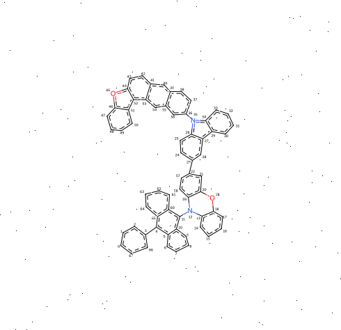 c1ccc(-c2c3ccccc3c(N3c4ccccc4Oc4cc(-c5ccc6c(c5)c5ccccc5n6-c5ccc6cc7ccc8oc9ccccc9c8c7cc6c5)ccc43)c3ccccc23)cc1